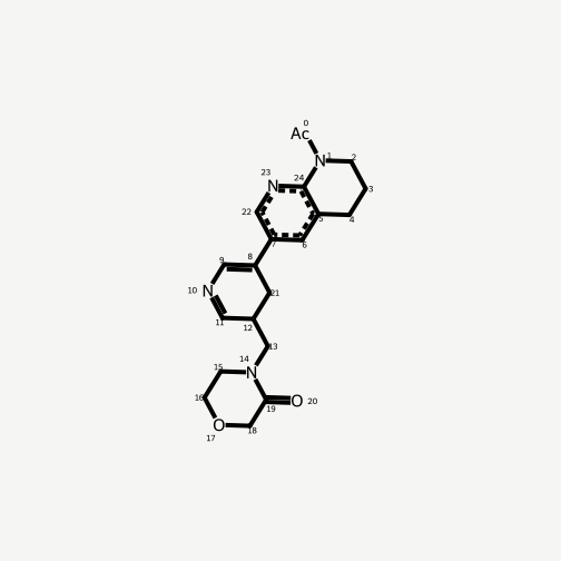 CC(=O)N1CCCc2cc(C3=CN=CC(CN4CCOCC4=O)C3)cnc21